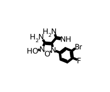 N=C(N)C1=C(N)N(O)ON1c1ccc(F)c(Br)c1